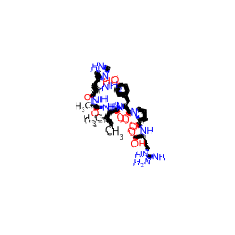 CC[C@H](C)[C@H](NC(=O)[C@H](C)NC(=O)[C@@H](N)Cc1c[nH]cn1)C(=O)N[C@@H](Cc1ccc(O)cc1)C(=O)N1CCC[C@H]1C(=O)N[C@@H](CCCNC(=N)N)C(=O)O